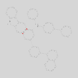 c1ccc(-c2ccc(N(c3cccc(-c4cccc(-c5cccc6ccccc56)c4)c3)c3ccccc3-c3cccc4oc5ccccc5c34)cc2)cc1